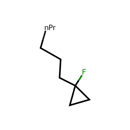 CCCCCCC1(F)CC1